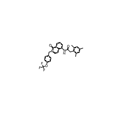 Cc1cc(C)c(CC(=O)Nc2cccc3c(=O)n(Cc4ccc(OC(F)(F)F)cc4)ccc23)c(C)c1